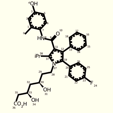 Cc1cc(O)ccc1NC(=O)c1c(-c2ccccc2)c(-c2ccc(F)cc2)n(CC[C@@H](O)C[C@@H](O)CC(=O)O)c1C(C)C